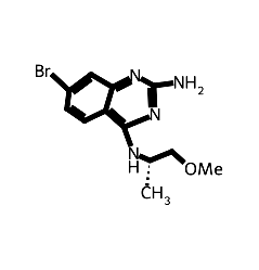 COC[C@H](C)Nc1nc(N)nc2cc(Br)ccc12